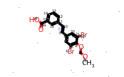 COCOc1c(Br)cc(/C=C/c2cccc(C(=O)O)c2)cc1Br